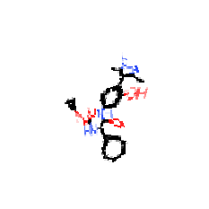 Cc1n[nH]c(C)c1-c1ccc(NC(=O)[C@@H](NC(=O)OC2CC2)C2CCCCCC2)cc1O